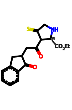 CCOC(=O)[C@H]1NCC(=S)C1C(=O)CC1Cc2ccccc2C1=O